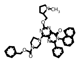 CN1CCCC1COc1nc(N2CCN(C(=O)OCc3ccccc3)CC2)c2nc(-c3ccccc3)n(-c3cccc4ccccc34)c(=O)c2n1